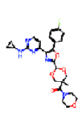 CC1(C(=O)N2CCOCC2)COC(c2nc(-c3ccnc(NC4CC4)n3)c(-c3ccc(F)cc3)o2)OC1